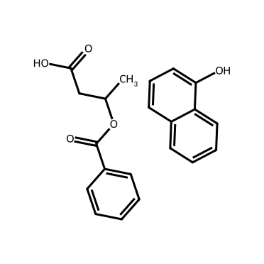 CC(CC(=O)O)OC(=O)c1ccccc1.Oc1cccc2ccccc12